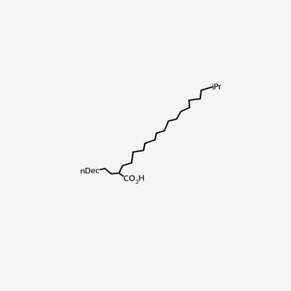 CCCCCCCCCCCCC(CCCCCCCCCCCCCCCC(C)C)C(=O)O